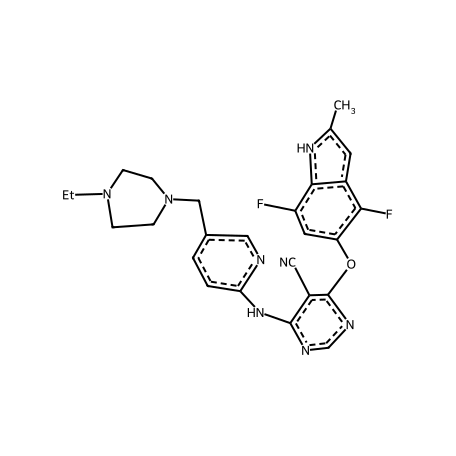 CCN1CCN(Cc2ccc(Nc3ncnc(Oc4cc(F)c5[nH]c(C)cc5c4F)c3C#N)nc2)CC1